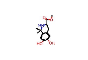 COC(=O)[C@H]1Cc2cc(O)c(O)cc2C(C)(C)N1